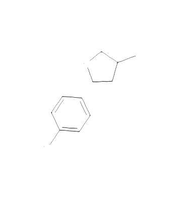 CC1CO[C@@H](c2ccc(Cl)cc2)C1